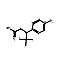 CC(C)(C)C(CC(=O)O)c1ccc(Br)cc1